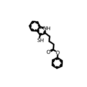 O=C(CCCc1[nH]c2ccccc2c1S)Oc1ccccc1